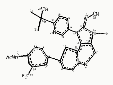 CC(=O)Nc1ncc(-c2ccc3ncc4c(c3c2)n(-c2ccc(C(C)(C)C#N)nc2)c(=NC#N)n4C)cc1C(F)(F)F